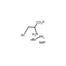 CC(=O)CC(N)C(=O)O.CCCCP.[NaH]